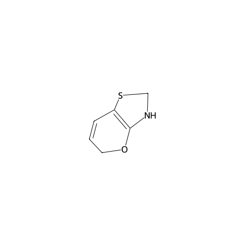 C1=CC2=C(NCS2)OC1